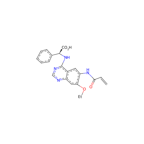 C=CC(=O)Nc1cc2c(N[C@H](C(=O)O)c3ccccc3)ncnc2cc1OCC